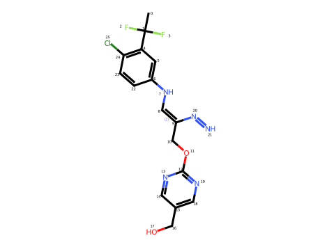 CC(F)(F)c1cc(N/C=C(/COc2ncc(CO)cn2)N=N)ccc1Cl